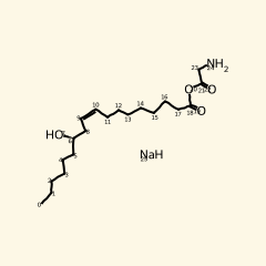 CCCCCC[C@@H](O)C/C=C\CCCCCCCC(=O)OC(=O)CN.[NaH]